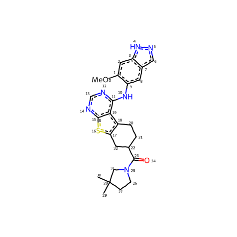 COc1cc2[nH]ncc2cc1Nc1ncnc2sc3c(c12)CCC(C(=O)N1CCC(C)(C)C1)C3